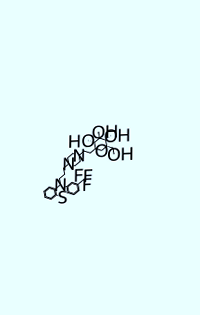 OC[C@H]1OC(CCN2CCN(CCCN3c4ccccc4Sc4ccc(C(F)(F)F)cc43)CC2)[C@H](O)[C@@H](O)[C@@H]1O